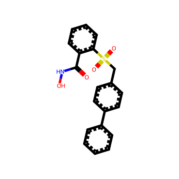 O=C(NO)c1ccccc1S(=O)(=O)Cc1ccc(-c2ccccc2)cc1